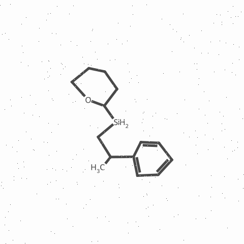 CC(C[SiH2]C1CCCCO1)c1ccccc1